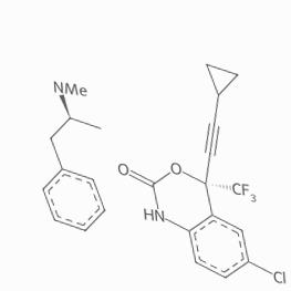 CN[C@@H](C)Cc1ccccc1.O=C1Nc2ccc(Cl)cc2[C@@](C#CC2CC2)(C(F)(F)F)O1